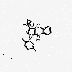 Cc1ccc(C)c(-n2nc(C3(C)CC3)cc2Nc2ccccc2C(=O)O)c1